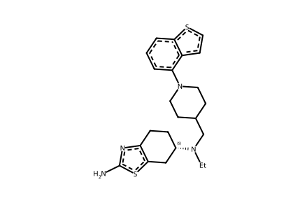 CCN(CC1CCN(c2cccc3sccc23)CC1)[C@H]1CCc2nc(N)sc2C1